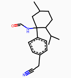 CC1CCC(C(C)C)C(NC=O)(c2ccc(CC#N)cc2)C1